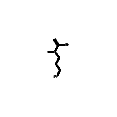 C=C(C(C)C)N(C)CCCC(C)C